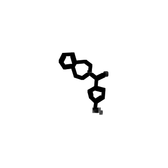 Nc1ccc(C(=O)N2CCc3ccccc3CC2)cc1